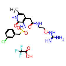 Cc1cc(CC(=O)NCCONC(=N)N)c(NS(=O)(=O)Cc2cccc(Cl)c2)c(=O)[nH]1.O=C(O)C(F)(F)F